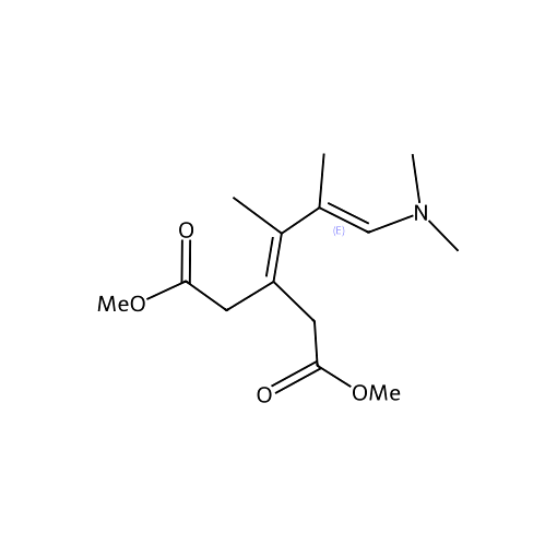 COC(=O)CC(CC(=O)OC)=C(C)/C(C)=C/N(C)C